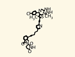 CC(=N)N1C(=N)CN=C(c2ccc(Cl)cc2)c2c1sc(C#Cc1ccc(CCCC#Cc3cccc4c3CN(C3CCC(=O)NC3=O)C4=O)cn1)c2C